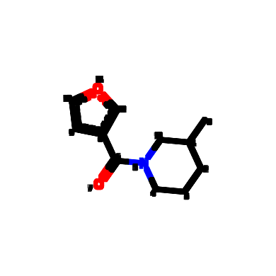 CC1CCCN(C(=O)c2ccoc2)C1